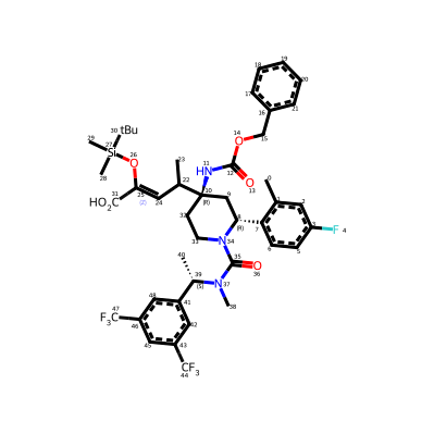 Cc1cc(F)ccc1[C@H]1C[C@@](NC(=O)OCc2ccccc2)(C(C)/C=C(\O[Si](C)(C)C(C)(C)C)C(=O)O)CCN1C(=O)N(C)[C@@H](C)c1cc(C(F)(F)F)cc(C(F)(F)F)c1